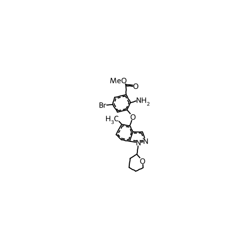 COC(=O)c1cc(Br)cc(Oc2c(C)ccc3c2cnn3C2CCCCO2)c1N